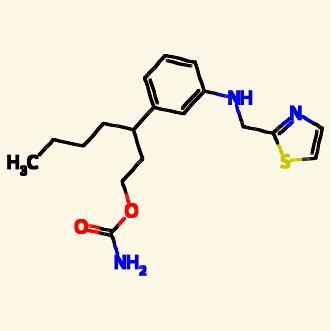 CCCCC(CCOC(N)=O)c1cccc(NCc2nccs2)c1